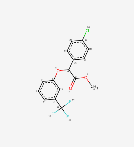 COC(=O)C(Oc1cccc(C(F)(F)F)c1)c1ccc(Cl)cc1